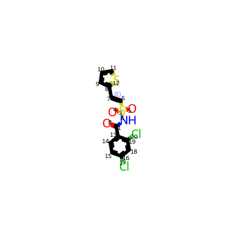 O=C(NS(=O)(=O)/C=C/c1cccs1)c1ccc(Cl)cc1Cl